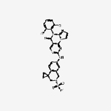 CC(C)S(=O)(=O)N1Cc2cc(Nc3ncc4c(=O)n(-c5c(Cl)cccc5Cl)c5nccn5c4n3)ccc2C2(CC2)C1